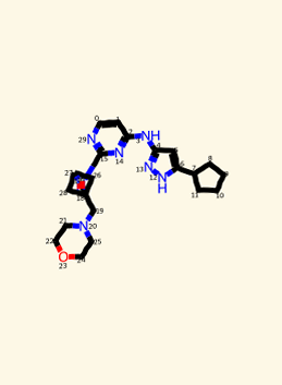 c1cc(Nc2cc(C3CCCC3)[nH]n2)nc(N2CC3(CN4CCOCC4)CC2C3)n1